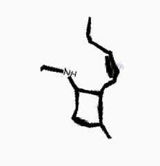 CC/C=C\C1C(C)CC1NC